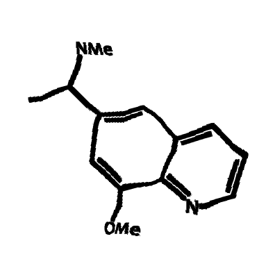 CNC(C)c1cc(OC)c2ncccc2c1